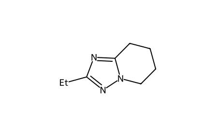 CCc1nc2n(n1)CCCC2